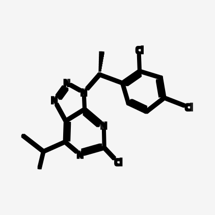 CC(C)c1nc(Cl)nc2c1nnn2[C@H](C)c1ccc(Cl)cc1Cl